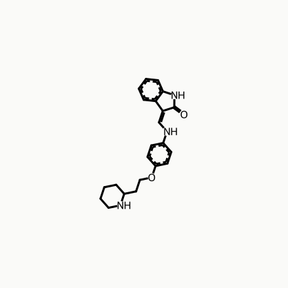 O=C1Nc2ccccc2C1=CNc1ccc(OCCC2CCCCN2)cc1